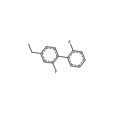 CCc1ccc(-c2ccccc2F)c(F)c1